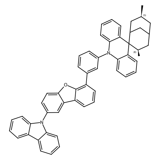 C[C@H]1CC2CC(C1)C1(c3ccccc3N(c3cccc(-c4cccc5c4oc4ccc(-n6c7ccccc7c7ccccc76)cc45)c3)c3ccccc31)[C@H](C)C2